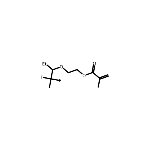 C=C(C)C(=O)OCCOC(CC)C(C)(F)F